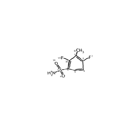 Cc1c(F)ccc(S(N)(=O)=O)c1F